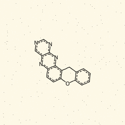 c1ccc2c(c1)Cc1c(ccc3nc4cncnc4nc13)O2